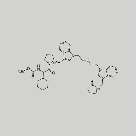 CC(C)(C)OC(=O)NC(C(=O)N1CCC[C@H]1Cc1cn(CCOCCn2cc(C[C@@H]3CCCN3)c3ccccc32)c2ccccc12)C1CCCCC1